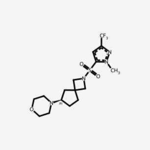 Cn1nc(C(F)(F)F)cc1S(=O)(=O)N1CC2(CC[C@@H](N3CCOCC3)C2)C1